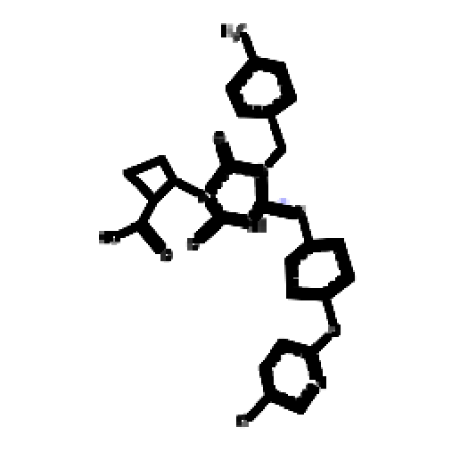 Cc1ccc(Cn2c(=O)n(C3CCC3C(=O)O)c(=O)[nH]/c2=N\c2ccc(Oc3ccc(Cl)cn3)cc2)cc1